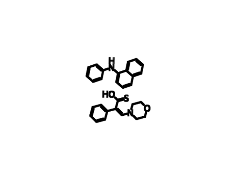 OC(=S)C(=CN1CCOCC1)c1ccccc1.c1ccc(Nc2cccc3ccccc23)cc1